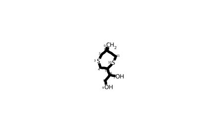 C=C1CSCC(C(O)CO)SC1